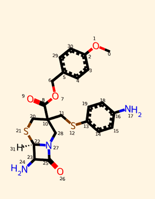 COc1ccc(COC(=O)C2(CSc3ccc(N)cc3)CS[C@@H]3C(N)C(=O)N3C2)cc1